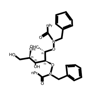 CCCC(=O)N(Cc1ccccc1)O[C@@H]([C@H](O)[C@H](O)CO)[C@H](C=O)ON(Cc1ccccc1)C(=O)CCC